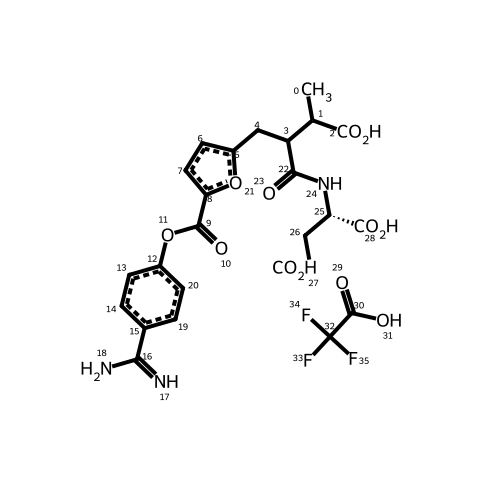 CC(C(=O)O)C(Cc1ccc(C(=O)Oc2ccc(C(=N)N)cc2)o1)C(=O)N[C@@H](CC(=O)O)C(=O)O.O=C(O)C(F)(F)F